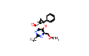 COCc1nc(C)ncc1O[C@@]1(C2C=CC=CC2)C[C@H]1C=O